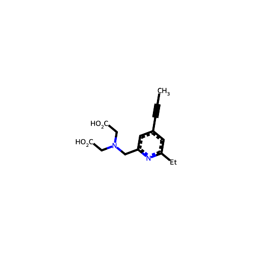 CC#Cc1cc(CC)nc(CN(CC(=O)O)CC(=O)O)c1